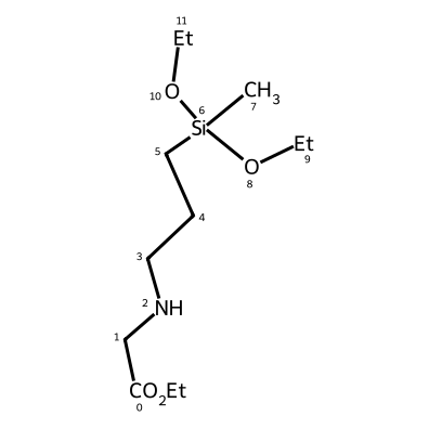 CCOC(=O)CNCCC[Si](C)(OCC)OCC